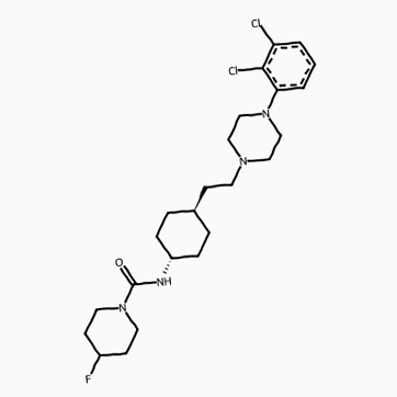 O=C(N[C@H]1CC[C@H](CCN2CCN(c3cccc(Cl)c3Cl)CC2)CC1)N1CCC(F)CC1